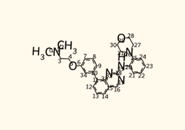 CN(C)CCOc1cccc(-c2cccc3cnc(Nc4ccccc4N4CCOCC4)nc23)c1